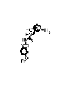 [BH3-][N+]12CCC(CC1)C(O)(CNC(=S)Nc1nc3ccc(OCC)cc3s1)C2